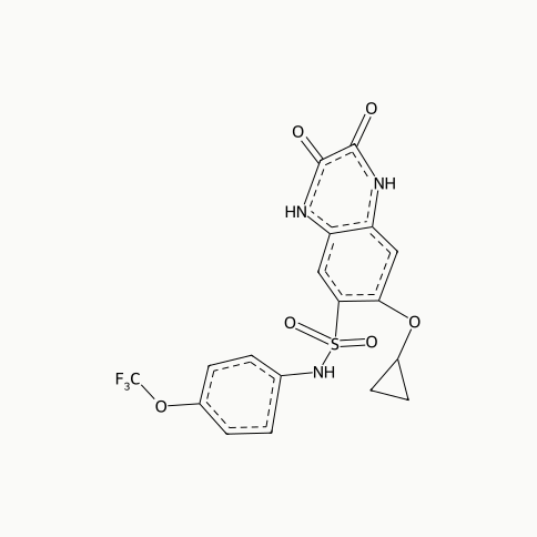 O=c1[nH]c2cc(OC3CC3)c(S(=O)(=O)Nc3ccc(OC(F)(F)F)cc3)cc2[nH]c1=O